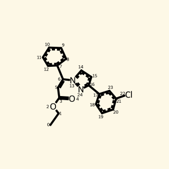 CCOC(=O)/C=C(/c1ccccc1)n1ccc(-c2cccc(Cl)c2)n1